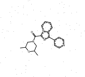 CC1CN(C(=O)c2nc(-c3ccncc3)c3ccccn23)CC(C)O1